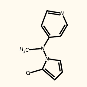 CN(c1ccncc1)n1cccc1Cl